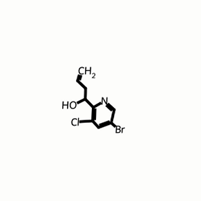 C=CCC(O)c1ncc(Br)cc1Cl